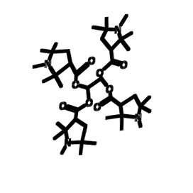 CN1C(C)(C)CC(C(=O)OC(OC(=O)C2CC(C)(C)N(C)C2(C)C)C(OC(=O)C2CC(C)(C)N(C)C2(C)C)OC(=O)C2CC(C)(C)N(C)C2(C)C)C1(C)C